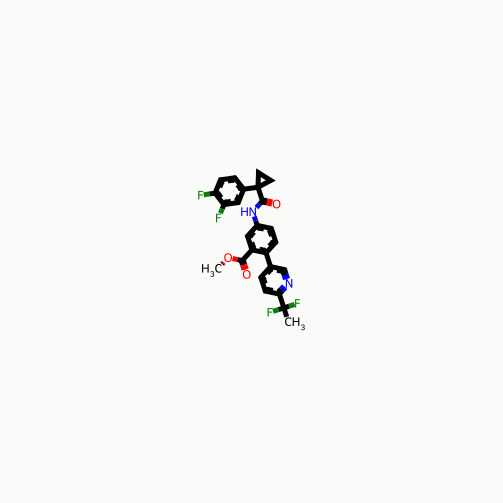 COC(=O)c1cc(NC(=O)C2(c3ccc(F)c(F)c3)CC2)ccc1-c1ccc(C(C)(F)F)nc1